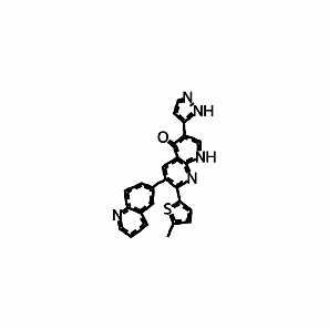 Cc1ccc(-c2nc3[nH]cc(-c4ccn[nH]4)c(=O)c3cc2-c2ccc3ncccc3c2)s1